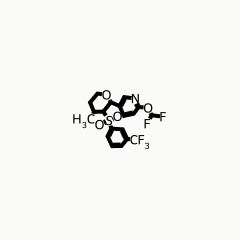 CC1CCOC(c2ccc(OC(F)F)nc2)C1S(=O)(=O)c1cccc(C(F)(F)F)c1